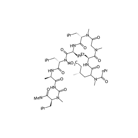 CCCC(=O)N(C)C(C[C@H](C)CC(=O)O)C(=O)N[C@@H](CC)C(=O)N(C)CC(=O)N(C)[C@@H](CC(C)C)C(=O)N[C@H](C(=O)N(C)[C@@H](CC(C)C)C(=O)N[C@H](C)C(=O)NC(=O)N(C)[C@@H](CC(C)C)C(=O)NC)C(C)C